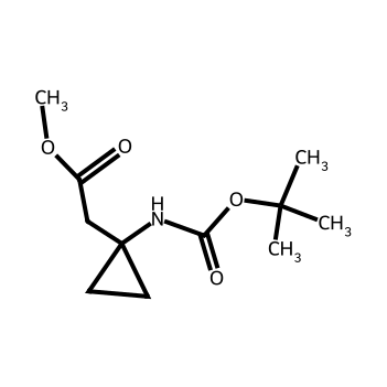 COC(=O)CC1(NC(=O)OC(C)(C)C)CC1